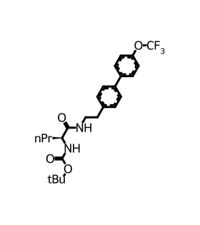 CCC[C@H](NC(=O)OC(C)(C)C)C(=O)NCCc1ccc(-c2ccc(OC(F)(F)F)cc2)cc1